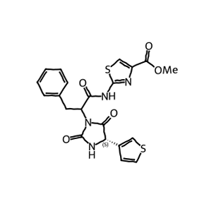 COC(=O)c1csc(NC(=O)C(Cc2ccccc2)N2C(=O)N[C@@H](c3ccsc3)C2=O)n1